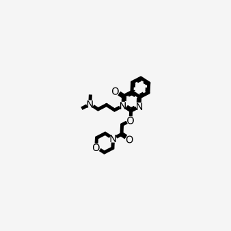 CN(C)CCCn1c(OCC(=O)N2CCOCC2)nc2ccccc2c1=O